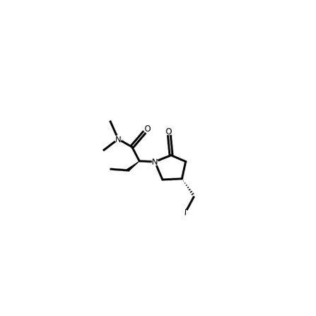 CC[C@@H](C(=O)N(C)C)N1C[C@@H](CI)CC1=O